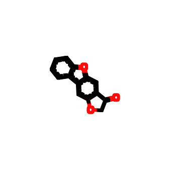 O=C1COc2cc3c(cc21)oc1ccccc13